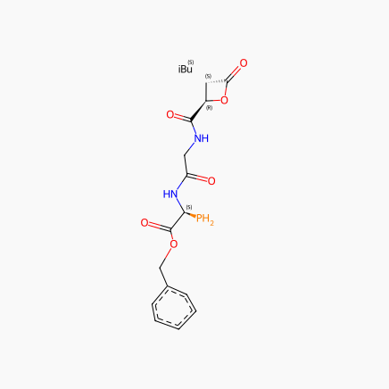 CC[C@H](C)[C@@H]1C(=O)O[C@H]1C(=O)NCC(=O)N[C@@H](P)C(=O)OCc1ccccc1